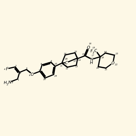 NC/C(=C\F)COc1ccc(C23CCC(C(=O)NC4(C(F)(F)F)CCOCC4)(CC2)CC3)cc1